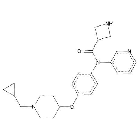 O=C(C1CNC1)N(c1ccc(OC2CCN(CC3CC3)CC2)cc1)c1cccnc1